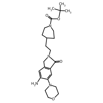 CC(C)(C)OC(=O)N1CCC(CCN2Cc3cc(N)c(N4CCOCC4)cc3C2=O)CC1